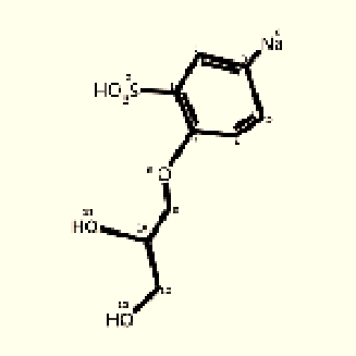 O=S(=O)(O)c1c[c]([Na])ccc1OCC(O)CO